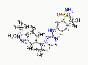 [2H]c1c(N(c2ccnc(Nc3ccc(C([2H])([2H])[2H])c(S(N)(=O)=O)c3)n2)C([2H])([2H])[2H])c([2H])c2nn(C)c(C([2H])([2H])[2H])c2c1[2H]